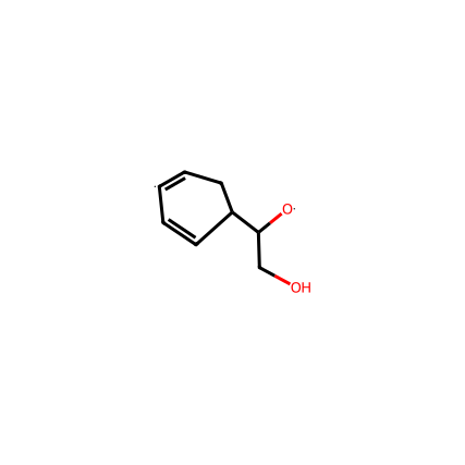 [O]C(CO)C1C=C[C]=CC1